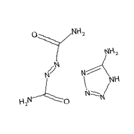 NC(=O)/N=N/C(N)=O.Nc1nnn[nH]1